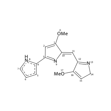 COC1=CC(c2ccc[nH]2)=NC1=CC1=NCC=C1OC